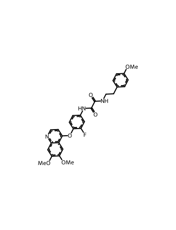 COc1ccc(CCNC(=O)C(=O)Nc2ccc(Oc3ccnc4cc(OC)c(OC)cc34)c(F)c2)cc1